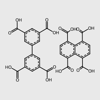 O=C(O)c1cc(C(=O)O)cc(-c2cc(C(=O)O)cc(C(=O)O)c2)c1.O=C(O)c1ccc(C(=O)O)c2c(C(=O)O)ccc(C(=O)O)c12